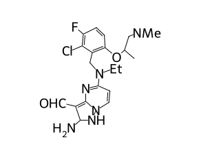 CCN(Cc1c(OC(C)CNC)ccc(F)c1Cl)C1=NC2=C(C=O)C(N)NN2C=C1